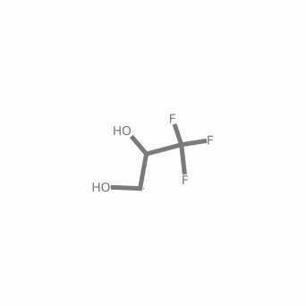 O[CH]C(O)C(F)(F)F